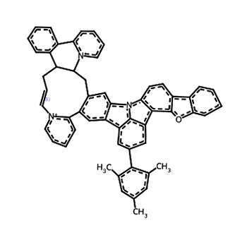 Cc1cc(C)c(-c2cc3c4cc5c(cc4n4c6ccc7c8ccccc8oc7c6c(c2)c34)CC2C(C/C=C/[n+]3ccccc3-5)c3ccccc3-c3cccc[n+]32)c(C)c1